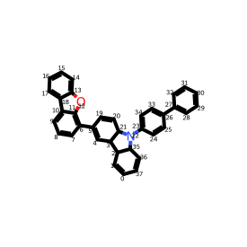 C1=CC2C3C=C(c4cccc5c4oc4ccccc45)C=CC3N(c3ccc(-c4ccccc4)cc3)C2C=C1